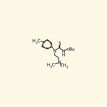 CCCCNC(=S)N(CCN(C)C)c1ccc(C)cc1